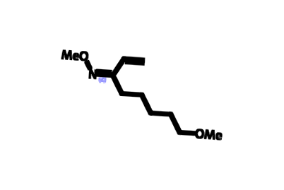 C=C/C(CCCCCOC)=N\OC